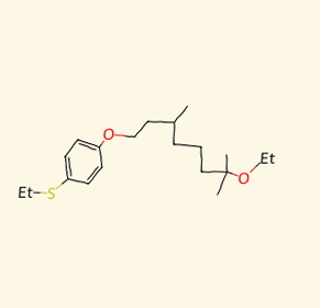 CCOC(C)(C)CCCC(C)CCOc1ccc(SCC)cc1